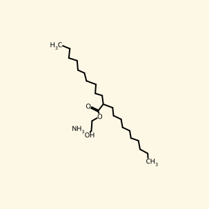 CCCCCCCCCCC(CCCCCCCCCC)C(=O)OCCO.N